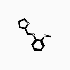 COc1c[c]ccc1OCC1CCCO1